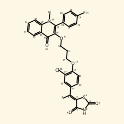 CC(=C1SC(=O)NC1=O)c1ccc(OCCCOc2c(-c3ccc(F)cc3)n(C)c3ccccc3c2=O)c(Cl)c1